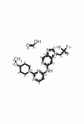 COC1CCN(c2nccc(Nc3cc4c(cn3)ncn4CC(F)(F)F)n2)CC1.O=CO